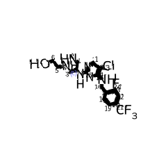 N=C/C(=C\NCCO)Nc1ncc(Cl)c(NCc2ccc(C(F)(F)F)cc2F)n1